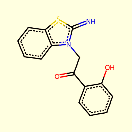 N=c1sc2ccccc2n1CC(=O)c1ccccc1O